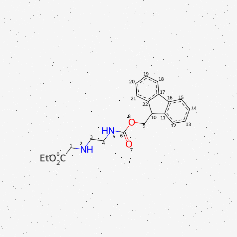 CCOC(=O)CNCCNC(=O)OCC1c2ccccc2-c2ccccc21